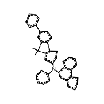 CC1(C)c2cc(-c3ccccc3)ccc2-c2ccc(N(c3ccccc3)c3cc4ccccc4c4ccccc34)cc21